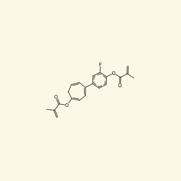 C=C(C)C(=O)OC1=CC=C(c2ccc(OC(=O)C(=C)C)c(F)c2)C=CC1